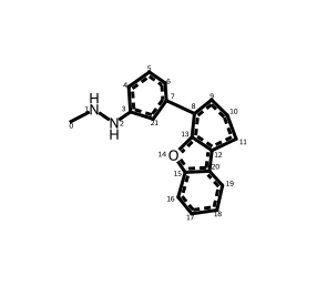 CNNc1cccc(-c2cccc3c2oc2ccccc23)c1